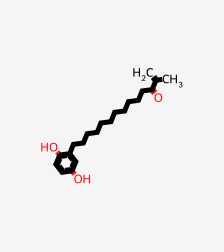 C=C(C)C(=O)CCCCCCCCCCCc1cc(O)ccc1O